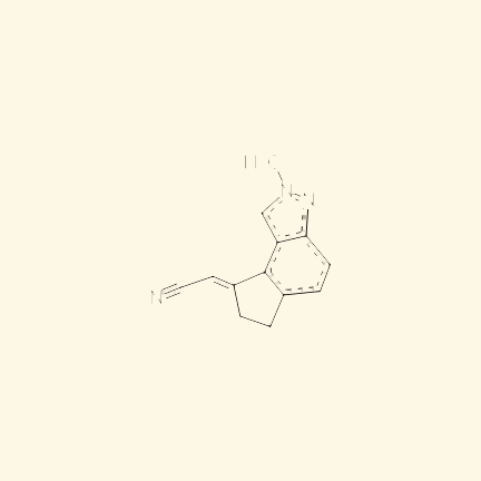 Cn1cc2c3c(ccc2n1)CCC3=CC#N